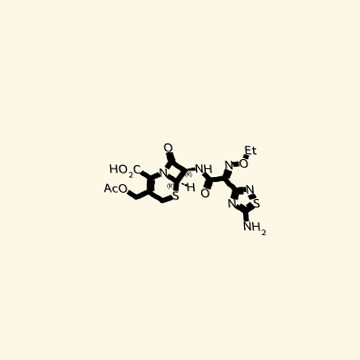 CCON=C(C(=O)N[C@@H]1C(=O)N2C(C(=O)O)=C(COC(C)=O)CS[C@H]12)c1nsc(N)n1